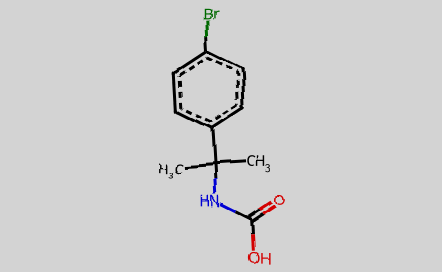 CC(C)(NC(=O)O)c1ccc(Br)cc1